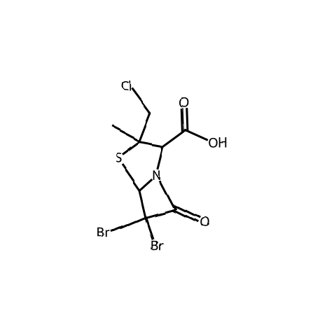 CC1(CCl)SC2N(C(=O)C2(Br)Br)C1C(=O)O